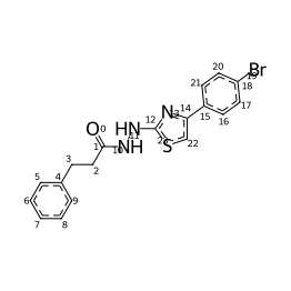 O=C(CCc1ccccc1)NNc1nc(-c2ccc(Br)cc2)cs1